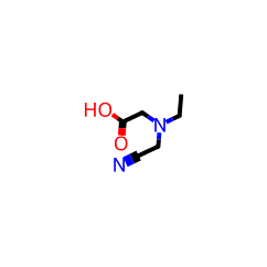 CCN(CC#N)CC(=O)O